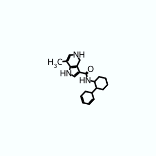 CC1=CNCc2c(C(=O)NC3CCCCC3C3C=CC=CC3)c[nH]c21